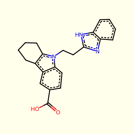 O=C(O)c1ccc2c(c1)c1c(n2CCc2nc3ccccc3[nH]2)CCCC1